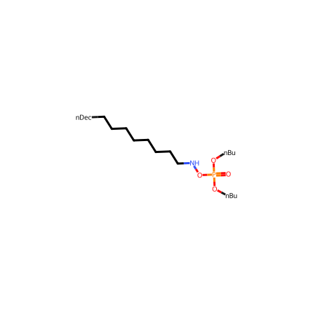 CCCCCCCCCCCCCCCCCCNOP(=O)(OCCCC)OCCCC